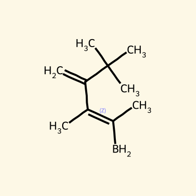 B/C(C)=C(\C)C(=C)C(C)(C)C